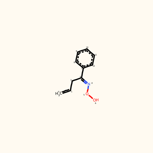 C=CCC(=NOO)c1ccccc1